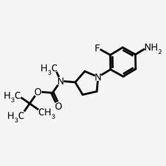 CN(C(=O)OC(C)(C)C)C1CCN(c2ccc(N)cc2F)C1